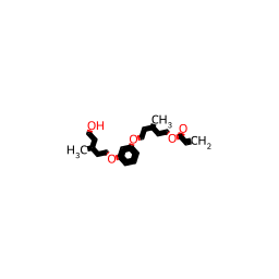 C=CC(=O)OCCC(C)CCOc1cccc(OCCC(C)CCO)c1